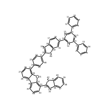 c1ccc(-c2nc(-c3ccccc3)nc(-c3ccc4nc(-c5ccc(-c6cccc7c6oc6c(-c8nc9ccccc9s8)cccc67)cc5)sc4c3)n2)cc1